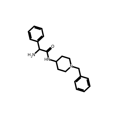 NC(C(=O)NC1CCN(Cc2ccccc2)CC1)c1ccccc1